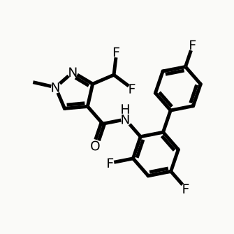 Cn1cc(C(=O)Nc2c(F)cc(F)cc2-c2ccc(F)cc2)c(C(F)F)n1